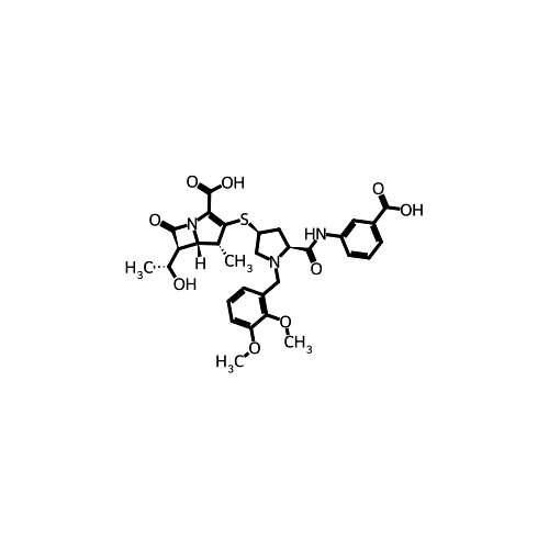 COc1cccc(CN2C[C@@H](SC3=C(C(=O)O)N4C(=O)[C@H]([C@@H](C)O)[C@H]4[C@H]3C)C[C@H]2C(=O)Nc2cccc(C(=O)O)c2)c1OC